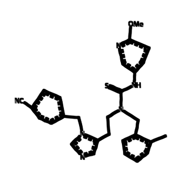 COc1ccc(NC(=S)N(CCc2cncn2Cc2ccc(C#N)cc2)Cc2ccccc2C)cn1